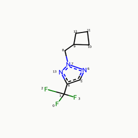 FC(F)(F)c1[c]nn(CC2CCC2)n1